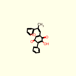 C/C(=C/C1=C(O)C(=O)C(c2ccccc2)=C(O)C1=O)c1ccccc1